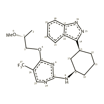 CO[C@H](C)COc1nc(N[C@@H]2CCC[C@H](c3nnc4ccccn34)C2)ncc1C(F)(F)F